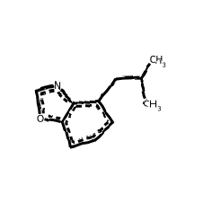 CC(C)Cc1cccc2ocnc12